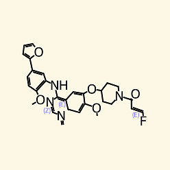 C=N/C=N\C(Nc1cc(-c2ccco2)ccc1OC)=C1\C=C(OC2CCN(C(=O)/C=C/F)CC2)C(OC)=CC1